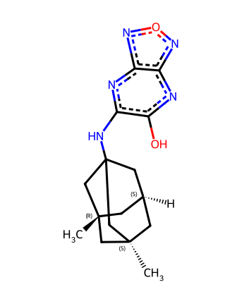 C[C@]12C[C@H]3CC(Nc4nc5nonc5nc4O)(C1)C[C@@](C)(C3)C2